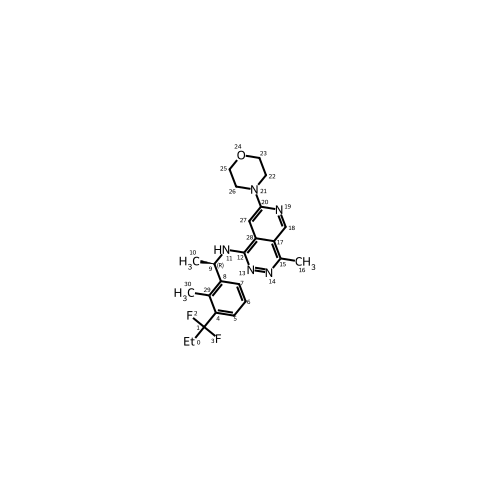 CCC(F)(F)c1cccc([C@@H](C)Nc2nnc(C)c3cnc(N4CCOCC4)cc23)c1C